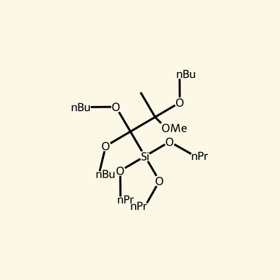 CCCCOC(C)(OC)C(OCCCC)(OCCCC)[Si](OCCC)(OCCC)OCCC